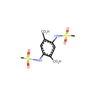 CS(=O)(=O)Nc1cc(C(=O)O)c(NS(C)(=O)=O)cc1C(=O)O